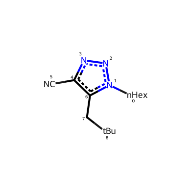 CCCCCCn1nnc(C#N)c1CC(C)(C)C